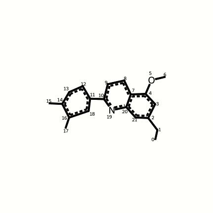 CCc1cc(OC)c2ccc(-c3ccc(C)c(C)c3)nc2c1